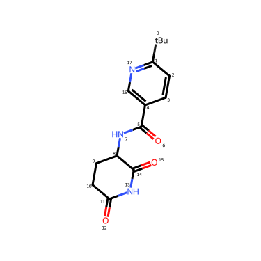 CC(C)(C)c1ccc(C(=O)NC2CCC(=O)NC2=O)cn1